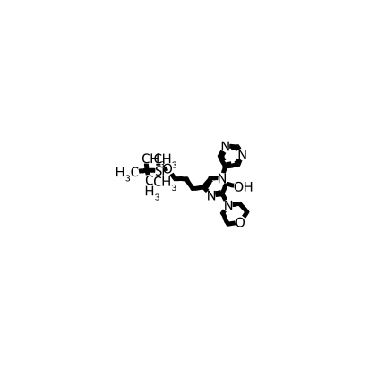 CC(C)(C)[Si](C)(C)OCCCC1=CN(c2cncnc2)C(O)C(N2CCOCC2)=N1